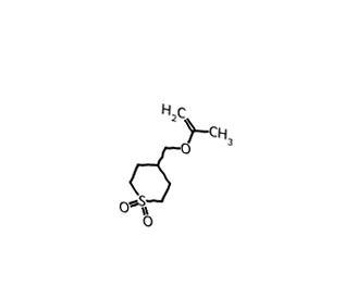 C=C(C)OCC1CCS(=O)(=O)CC1